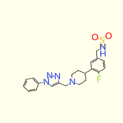 O=[SH](=O)NCc1ccc(F)c(C2CCN(Cc3cn(-c4ccccc4)nn3)CC2)c1